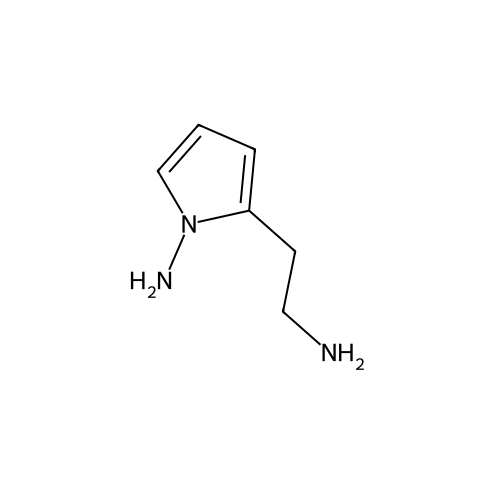 NCCc1cccn1N